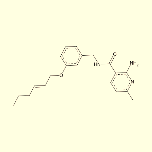 CCCC=CCOc1cccc(CNC(=O)c2ccc(C)nc2N)c1